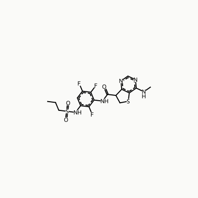 CCCS(=O)(=O)Nc1cc(F)c(F)c(NC(=O)C2CSc3c(NC)ncnc32)c1F